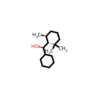 C[C@H]1CCCC(C)(C)[C@@H]1[C@H](O)C1CCCCC1